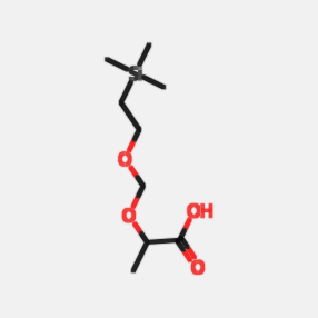 CC(OCOCC[Si](C)(C)C)C(=O)O